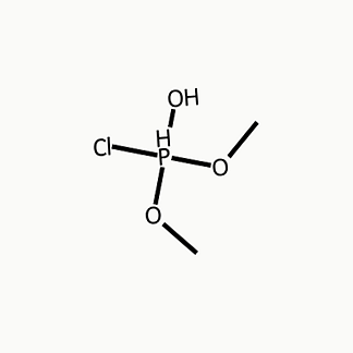 CO[PH](O)(Cl)OC